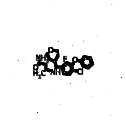 C[C@@H](CC(N)=O)N[C@@H](c1ccc(Cl)c(Oc2ccccc2)c1F)C1CCOCC1